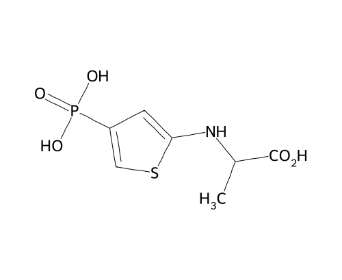 CC(Nc1cc(P(=O)(O)O)cs1)C(=O)O